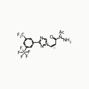 CC(=O)N(N)C(=O)/C=C\n1cnc(-c2cc(C(F)(F)F)cc(S(F)(F)(F)(F)F)c2)n1